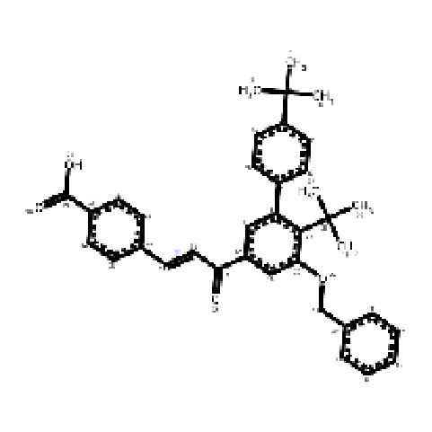 CC(C)(C)c1ccc(-c2cc(C(=O)/C=C/c3ccc(C(=O)O)cc3)cc(OCc3ccccc3)c2C(C)(C)C)cc1